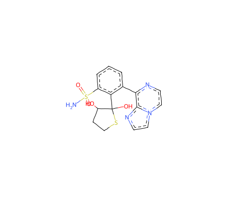 NS(=O)(=O)c1cccc(-c2nccn3ccnc23)c1C1(O)SCCC1O